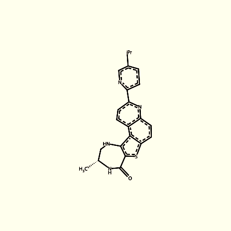 CC(C)c1ccc(-c2ccc3c(ccc4sc5c(c43)NC[C@@H](C)NC5=O)n2)nc1